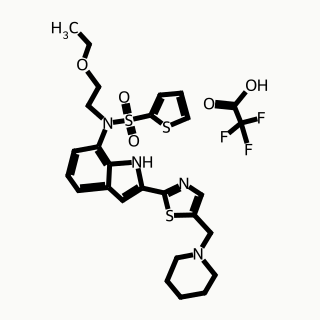 CCOCCN(c1cccc2cc(-c3ncc(CN4CCCCC4)s3)[nH]c12)S(=O)(=O)c1cccs1.O=C(O)C(F)(F)F